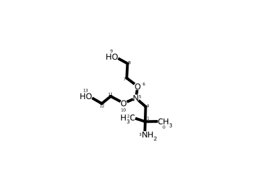 CC(C)(N)CN(OCCO)OCCO